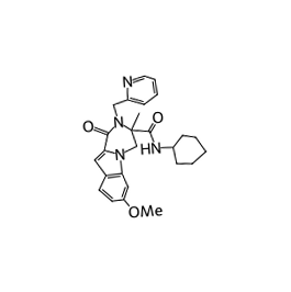 COc1ccc2cc3n(c2c1)CC(C)(C(=O)NC1CCCCC1)N(Cc1ccccn1)C3=O